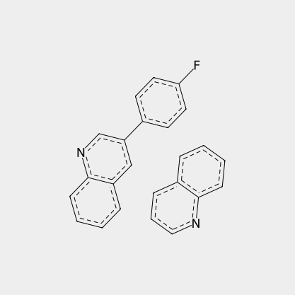 Fc1ccc(-c2cnc3ccccc3c2)cc1.c1ccc2ncccc2c1